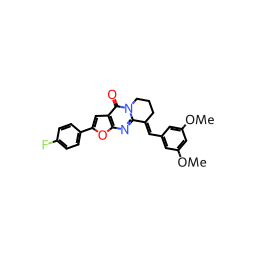 COc1cc(/C=C2\CCCn3c2nc2oc(-c4ccc(F)cc4)cc2c3=O)cc(OC)c1